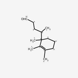 CC1=C(C)C(C)(C(C)CCC=O)CCC1